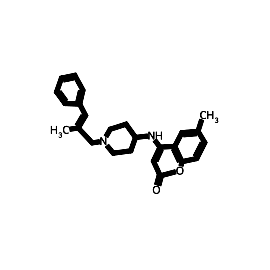 CC(=Cc1ccccc1)CN1CCC(Nc2cc(=O)oc3ccc(C)cc23)CC1